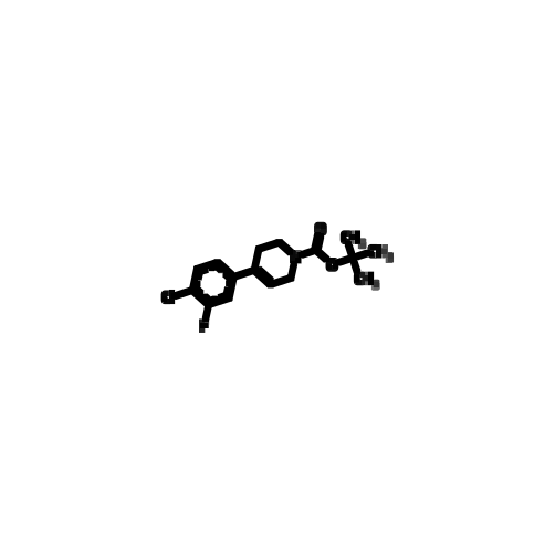 CC(C)(C)OC(=O)N1CC=C(c2ccc(Cl)c(F)c2)CC1